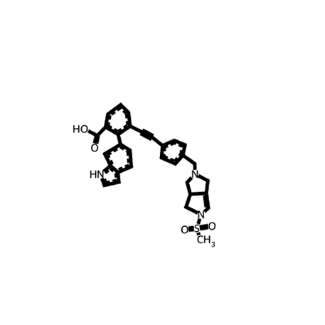 CS(=O)(=O)N1C=C2CN(Cc3ccc(C#Cc4cccc(C(=O)O)c4-c4ccc5cc[nH]c5c4)cc3)CC2C1